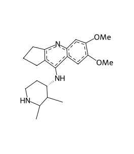 COc1cc2nc3c(c(N[C@H]4CCNC(C)C4C)c2cc1OC)CCC3